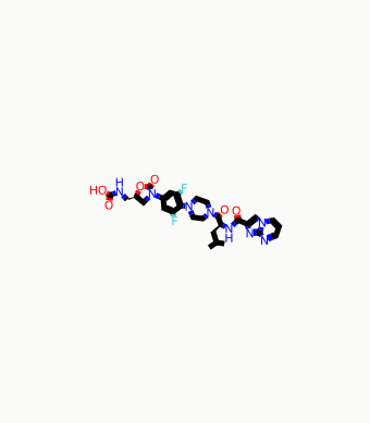 CC(C)C[C@H](NC(=O)c1cn2cccnc2n1)C(=O)N1CCN(c2c(F)cc(N3C[C@H](CNC(=O)O)OC3=O)cc2F)CC1